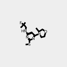 CSc1nc(NCC(C)(C)F)cc(N2CCOCC2C)n1